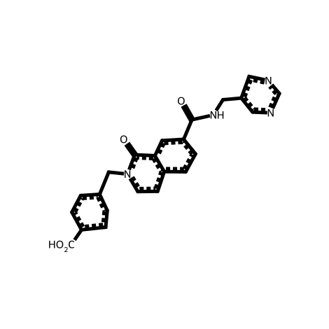 O=C(O)c1ccc(Cn2ccc3ccc(C(=O)NCc4cncnc4)cc3c2=O)cc1